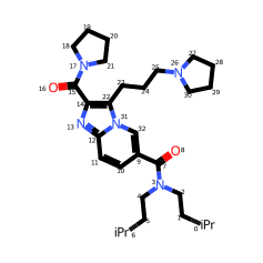 CC(C)CCN(CCC(C)C)C(=O)c1ccc2nc(C(=O)N3CCCC3)c(CCCN3CCCC3)n2c1